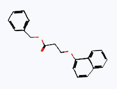 O=C(C[CH]Oc1cccc2ccccc12)OCc1ccccc1